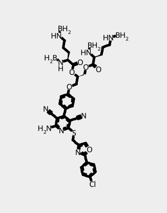 BNCCC[C@H](NB)C(=O)OC[C@H](COc1ccc(-c2c(C#N)c(N)nc(SCc3coc(-c4ccc(Cl)cc4)n3)c2C#N)cc1)OC(=O)[C@H](CCCNB)NB